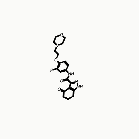 O=C(Nc1ccc(OCCN2CCOCC2)c(F)c1)c1n[nH]c2c1C(=O)CCC2